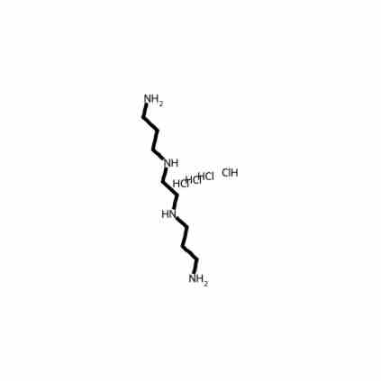 Cl.Cl.Cl.Cl.NCCCNCCNCCCN